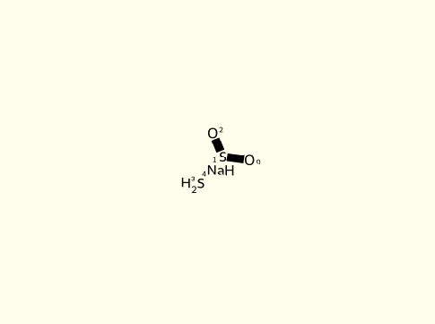 O=S=O.S.[NaH]